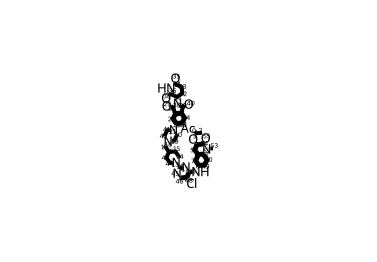 CC(=O)[C@H](C)Oc1cc2cc(Nc3nc(N4CCC(CN5CCN(c6ccc7c(c6)C(=O)N([C@@H]6CCC(=O)NC6=O)C7=O)CC5)CC4)ncc3Cl)ccc2n(C)c1=O